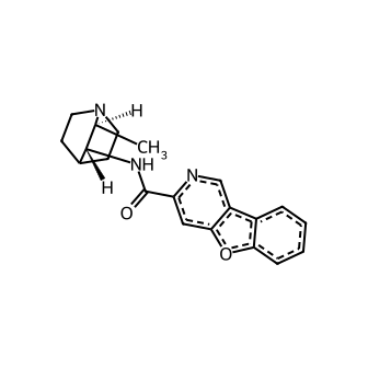 C[C@H]1[C@H](NC(=O)c2cc3oc4ccccc4c3cn2)C2CCN1CC2